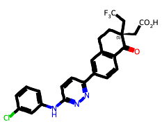 O=C(O)C[C@]1(CC(F)(F)F)CCc2cc(-c3ccc(Nc4cccc(Cl)c4)nn3)ccc2C1=O